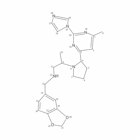 Cc1cc(C2CCCN2C(C)CNCc2ccc3c(c2)OCO3)nc(-n2ccnc2)n1